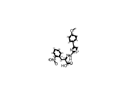 COc1ccc(-c2csc(NN=C(Cc3ccccc3[N+](=O)[O-])C(=O)O)n2)cc1